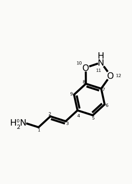 NCC=Cc1ccc2c(c1)ONO2